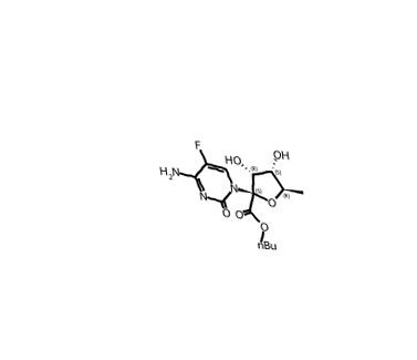 CCCCOC(=O)[C@@]1(n2cc(F)c(N)nc2=O)O[C@H](C)[C@@H](O)[C@H]1O